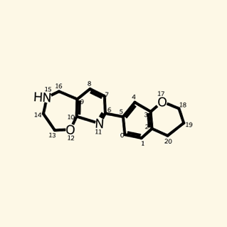 c1cc2c(cc1-c1ccc3c(n1)OCCNC3)OCCC2